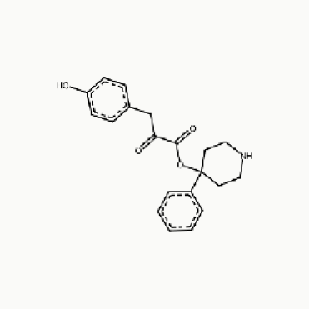 O=C(Cc1ccc(O)cc1)C(=O)OC1(c2ccccc2)CCNCC1